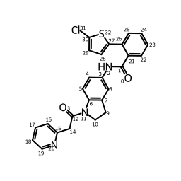 O=C(Nc1ccc2c(c1)CCN2C(=O)Cc1ccccn1)c1ccccc1-c1ccc(Cl)s1